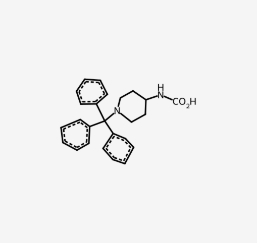 O=C(O)NC1CCN(C(c2ccccc2)(c2ccccc2)c2ccccc2)CC1